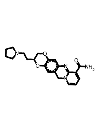 NC(=O)C1=CC=CN2Cc3cc4c(cc3N=C12)OCC(CCN1CCCC1)O4